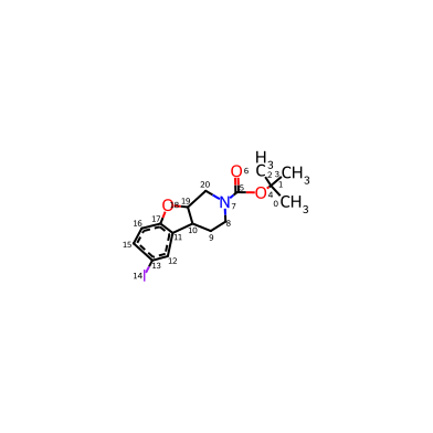 CC(C)(C)OC(=O)N1CCC2c3cc(I)ccc3OC2C1